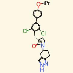 CC(C)Oc1ccc(-c2cc(Cl)c(C[C@@H]3CCN(C4CCc5n[nH]cc5C4)C3=O)c(Cl)c2)cc1